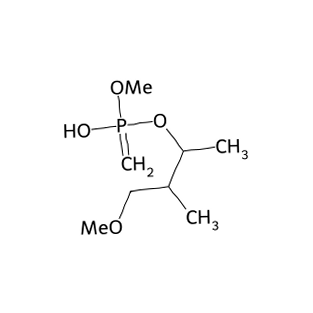 C=P(O)(OC)OC(C)C(C)COC